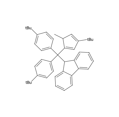 CC1C=C(C(C)(C)C)C=C1C(c1ccc(C(C)(C)C)cc1)(c1ccc(C(C)(C)C)cc1)C1c2ccccc2-c2ccccc21